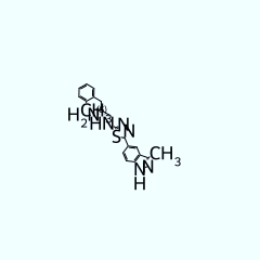 Cc1ccccc1C[C@H](N)CNc1nnc(-c2ccc3[nH]nc(C)c3c2)s1